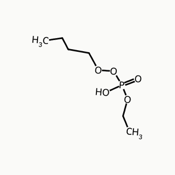 CCCCOOP(=O)(O)OCC